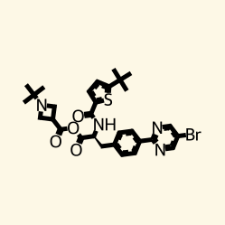 CC(C)(C)c1ccc(C(=O)N[C@@H](Cc2ccc(-c3ncc(Br)cn3)cc2)C(=O)OC(=O)C2CN(C(C)(C)C)C2)s1